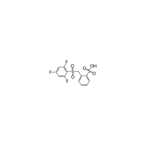 O=S(=O)(O)c1ccccc1CS(=O)(=O)c1c(F)cc(F)cc1F